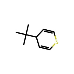 CC(C)(C)C1C=CSC=C1